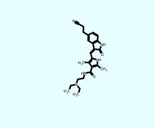 CCN(CC)CCNC(=O)c1c(C)[nH]c(/C=C2\C(=O)Nc3ccc(CCC#N)cc32)c1C